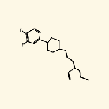 C=CC(CCC)CCCC1CCC(c2ccc(F)c(F)c2)CC1